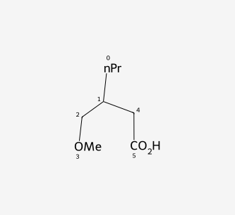 CCCC(COC)CC(=O)O